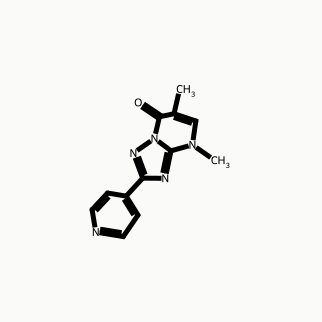 Cc1cn(C)c2nc(-c3ccncc3)nn2c1=O